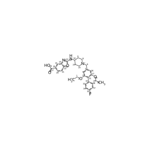 CCOc1cc(CN2CCC(Nc3nc4cc(C(=O)O)ccc4o3)CC2)cc(OCC)c1-c1ccc(F)cc1